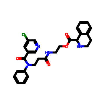 O=C(CCN(C(=O)c1cncc(Cl)c1)c1ccccc1)NCCOC(=O)C1NCCc2ccccc21